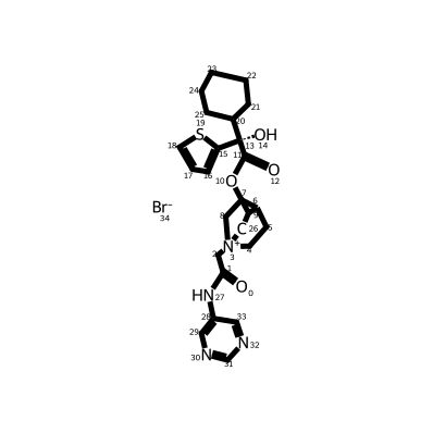 O=C(C[N+]12CCC(CC1)C(OC(=O)[C@@](O)(c1cccs1)C1CCCCC1)C2)Nc1cncnc1.[Br-]